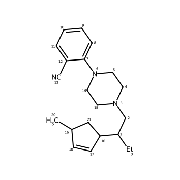 CCC(CN1CCN(c2ccccc2C#N)CC1)C1C=CC(C)C1